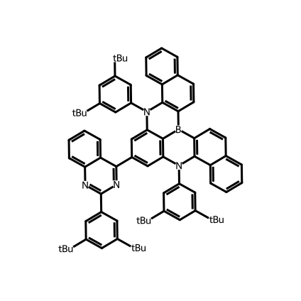 CC(C)(C)c1cc(-c2nc(-c3cc4c5c(c3)N(c3cc(C(C)(C)C)cc(C(C)(C)C)c3)c3c(ccc6ccccc36)B5c3ccc5ccccc5c3N4c3cc(C(C)(C)C)cc(C(C)(C)C)c3)c3ccccc3n2)cc(C(C)(C)C)c1